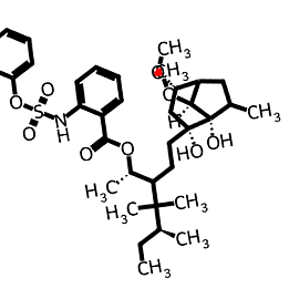 CC[C@H](C)C(C)(C)C(CC[C@@]1(O)C[C@H](OC)C2CC(C)[C@]1(O)[C@H]2OC)[C@H](C)OC(=O)c1ccccc1NS(=O)(=O)Oc1ccccc1